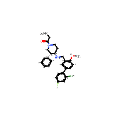 CC(=O)NCC(=O)N1CC[C@H](NCc2cc(-c3ccc(F)cc3Cl)ccc2OC(F)(F)F)[C@H](c2ccccc2)C1